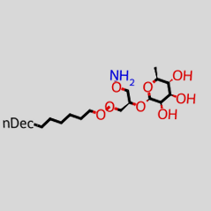 CCCCCCCCCCCCCCCCOOC[C@@H](CON)O[C@@H]1O[C@@H](C)[C@H](O)[C@@H](O)[C@H]1O